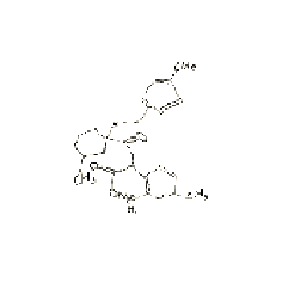 COC(=O)C(C(=O)C1(SCc2ccc(OC)cc2)CCCC(C)C1)c1ccc(C)cc1C